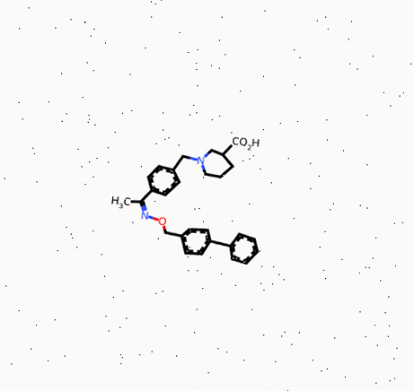 C/C(=N/OCc1ccc(-c2ccccc2)cc1)c1ccc(CN2CCCC(C(=O)O)C2)cc1